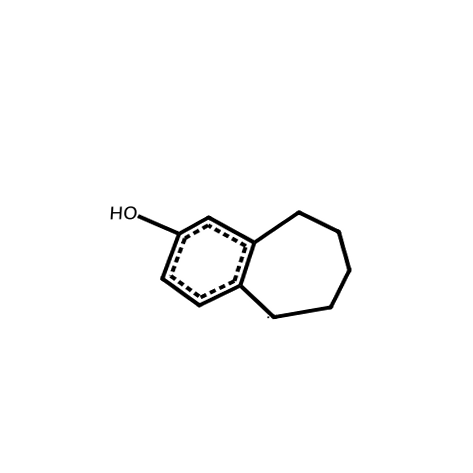 Oc1ccc2c(c1)CCCC[CH]2